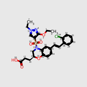 CCOc1nn(CC)cc1S(=O)(=O)N1C[C@H](CCC(=O)O)Oc2ccc(/C=C/c3ccccc3Cl)cc21